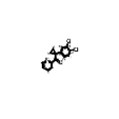 O=C(c1ccccn1)C1(c2ccc(Cl)c(Cl)c2)CC1